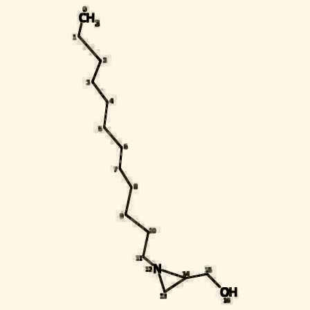 CCCCCCCCCCCCN1CC1CO